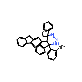 CCCc1ccccc1C1(c2ccccc2)NN=NC(CC(C)CC)(c2ccccc2)C1c1ccc2c(c1)Cc1ccccc1-2